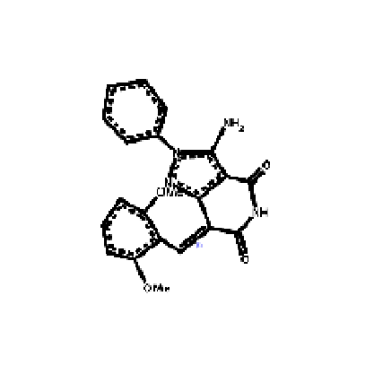 COc1cccc(OC)c1/C=C1/C(=O)NC(=O)c2c1nn(-c1ccccc1)c2N